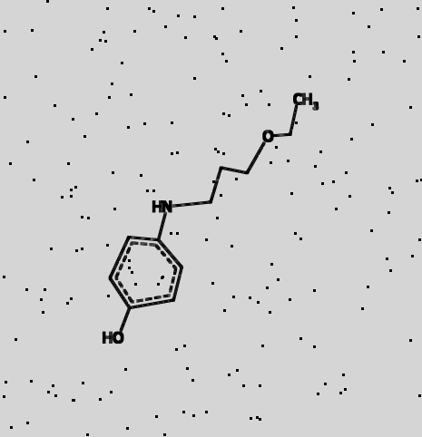 CCOCCCNc1ccc(O)cc1